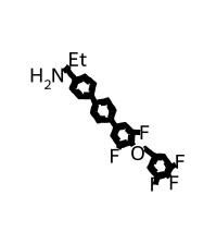 CCC(N)c1ccc(-c2ccc(-c3cc(F)c(OCc4cc(F)c(F)c(F)c4)c(F)c3)cc2)cc1